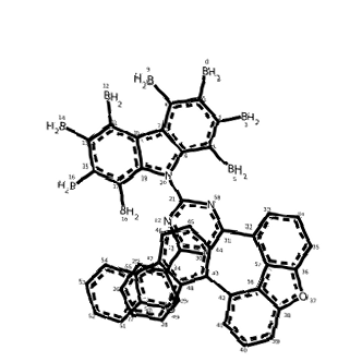 Bc1c(B)c(B)c2c(c1B)c1c(B)c(B)c(B)c(B)c1n2-c1nc(-c2ccccc2)nc(-c2cccc3oc4cccc(-c5cccc6c5oc5ccccc56)c4c23)n1